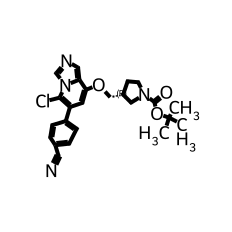 CC(C)(C)OC(=O)N1CC[C@@H](COc2cc(-c3ccc(C#N)cc3)c(Cl)n3cncc23)C1